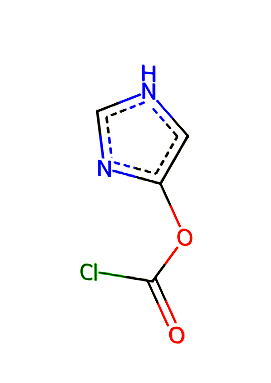 O=C(Cl)Oc1c[nH]cn1